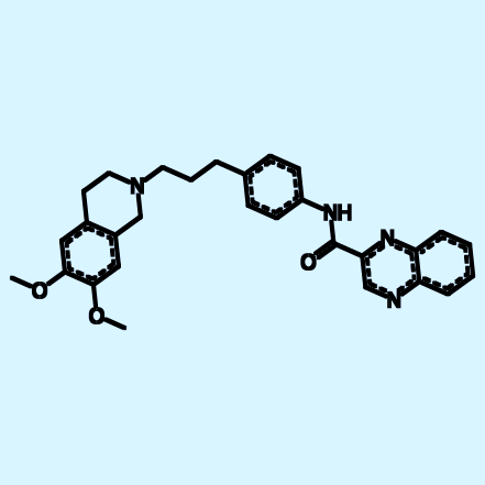 COc1cc2c(cc1OC)CN(CCCc1ccc(NC(=O)c3cnc4ccccc4n3)cc1)CC2